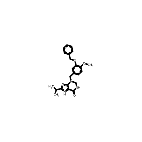 COc1ccc(CN2CNC(=O)c3[nH]c(C(C)C)nc32)cc1OCc1ccccc1